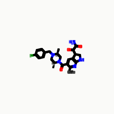 COc1nc2c(cc1C(=O)N1C[C@H](C)N(Cc3ccc(F)cc3)C[C@H]1C)C(C(=O)C(N)=O)CN2